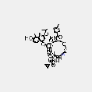 Cc1ccc(C(=O)N[C@H]2CCCCC/C=C\[C@@H]3C[C@@]3(C(=O)NS(=O)(=O)C3CC3)NC(=O)[C@@H]3C[C@@H](Oc4cc(OC(C)C)nc5c(C)c(O)ccc45)CN3C2=O)s1